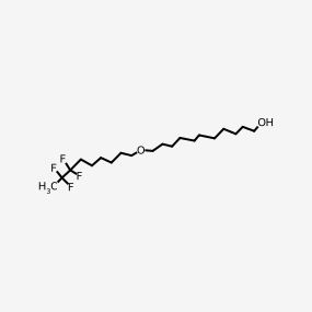 CC(F)(F)C(F)(F)CCCCCCOCCCCCCCCCCCO